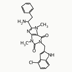 Cn1c(C(N)Cc2ccccc2)nc2c1c(=O)n(Cc1cc3c(Cl)cccc3[nH]1)c(=O)n2C